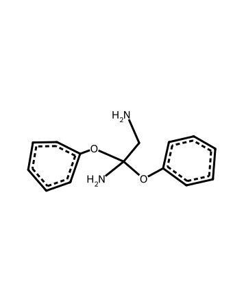 NCC(N)(Oc1ccccc1)Oc1ccccc1